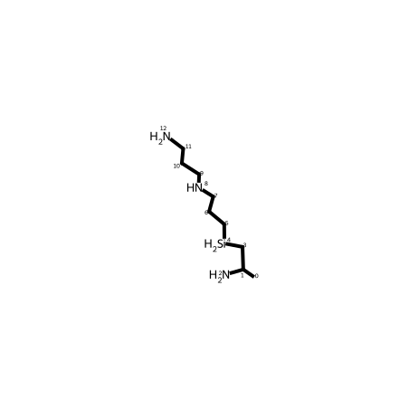 CC(N)C[SiH2]CCCNCCCN